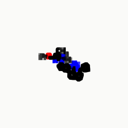 CCc1nc2c(C)cc(COC(C)C)nc2n1[C@H]1CCc2cc(-c3ccccc3-c3nnnn3C(c3ccccc3)c3ccccc3)ccc21